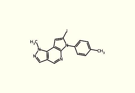 Cc1ccc(-n2c(I)cc3c4c(cnc32)cnn4C)cc1